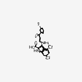 O=C(CCNc1c(C(=O)O)[nH]c2cc(Cl)cc(Cl)c12)c1cccc(F)c1